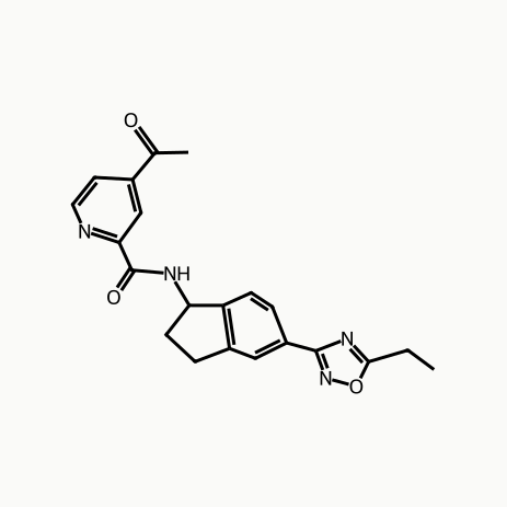 CCc1nc(-c2ccc3c(c2)CCC3NC(=O)c2cc(C(C)=O)ccn2)no1